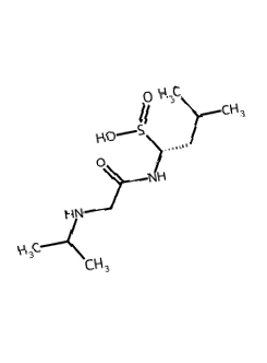 CC(C)C[C@H](NC(=O)CNC(C)C)S(=O)O